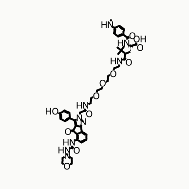 CNc1ccc(C(=O)N[C@@H](CC(C(=O)NCCOCCOCCOCCNC(=O)Cn2nc3c(c2-c2ccc(O)cc2)C(=O)c2c(NC(=O)NN4CCOCC4)cccc2-3)C(C)(C)C)C(=O)O)cc1